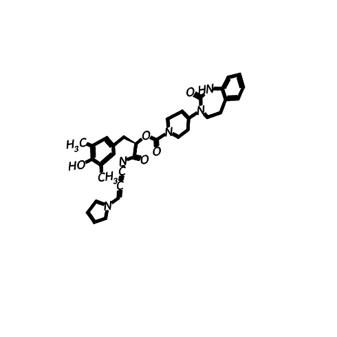 Cc1cc(C[C@@H](OC(=O)N2CCC(N3CCc4ccccc4NC3=O)CC2)C(=O)N=C=C=CN2CCCC2)cc(C)c1O